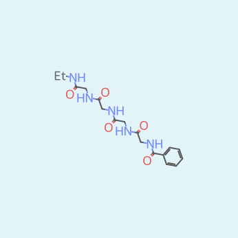 CCNC(=O)CNC(=O)CNC(=O)CNC(=O)CNC(=O)c1ccccc1